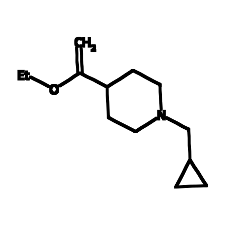 C=C(OCC)C1CCN(CC2CC2)CC1